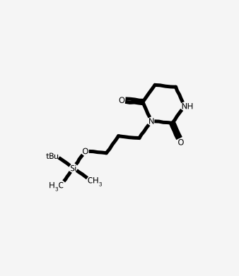 CC(C)(C)[Si](C)(C)OCCCN1C(=O)CCNC1=O